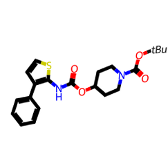 CC(C)(C)OC(=O)N1CCC(OC(=O)Nc2sccc2-c2ccccc2)CC1